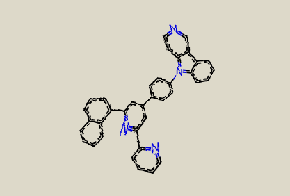 c1ccc(-c2cc(-c3ccc(-n4c5ccccc5c5cnccc54)cc3)cc(-c3cccc4ccccc34)n2)nc1